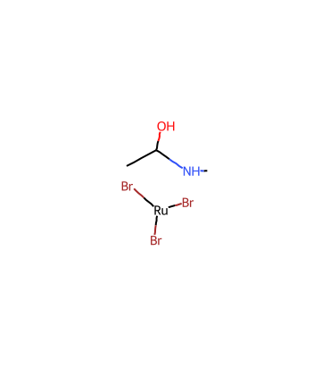 CNC(C)O.[Br][Ru]([Br])[Br]